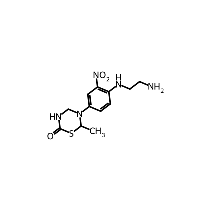 CC1SC(=O)NCN1c1ccc(NCCN)c([N+](=O)[O-])c1